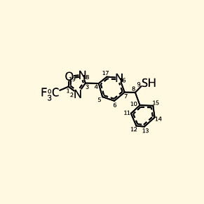 FC(F)(F)c1nc(-c2ccc(C(S)c3ccccc3)nc2)no1